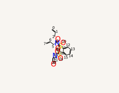 C=CCON(CC=C)S(=O)(=O)c1ccccc1S(=O)(=O)N=C=O